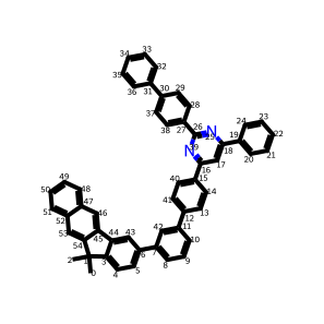 CC1(C)c2ccc(-c3cccc(-c4ccc(-c5cc(-c6ccccc6)nc(-c6ccc(-c7ccccc7)cc6)n5)cc4)c3)cc2-c2cc3ccccc3cc21